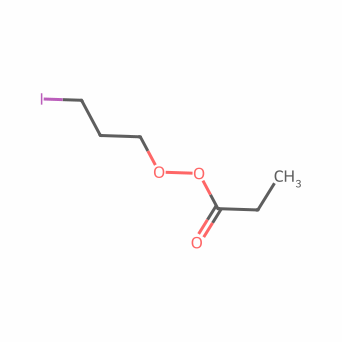 CCC(=O)OOCCCI